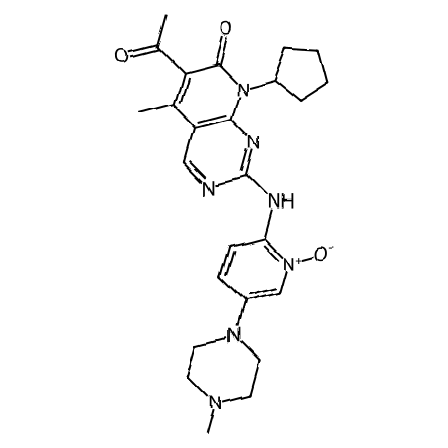 CC(=O)c1c(C)c2cnc(Nc3ccc(N4CCN(C)CC4)c[n+]3[O-])nc2n(C2CCCC2)c1=O